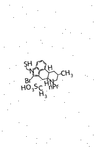 CCCN1C[C@H](C)C[C@@H]2c3cccc4c3c(c(Br)n4CS)C[C@H]21.CS(=O)(=O)O